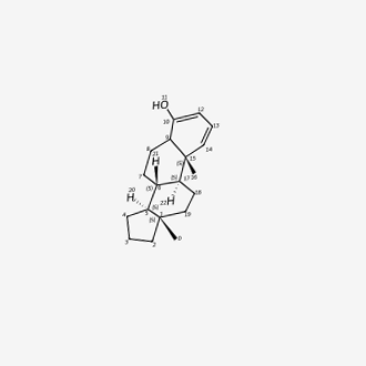 C[C@@]12CCC[C@H]1[C@@H]1CCC3C(O)=CC=C[C@]3(C)[C@H]1CC2